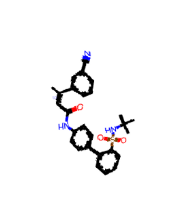 C/C(=C/C(=O)Nc1ccc(-c2ccccc2S(=O)(=O)NC(C)(C)C)cc1)c1cccc(C#N)c1